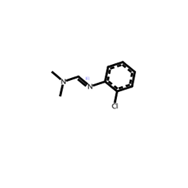 CN(C)/C=N/c1ccccc1Cl